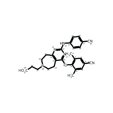 Cc1cc(C#N)cc(C)c1Oc1nc(Nc2ccc(C#N)cc2)nc2c1CCN(CCC(=O)O)CC2